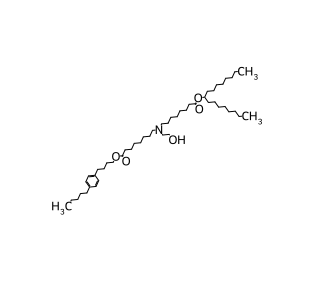 CCCCCCCCC(CCCCCCCC)OC(=O)CCCCCCCN(CCO)CCCCCCCC(=O)OCCCCc1ccc(CCCCC)cc1